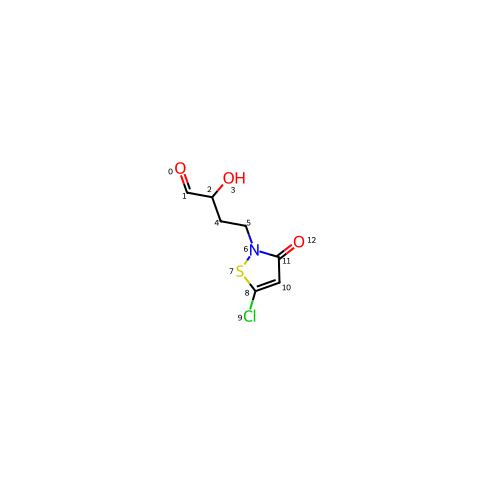 O=CC(O)CCn1sc(Cl)cc1=O